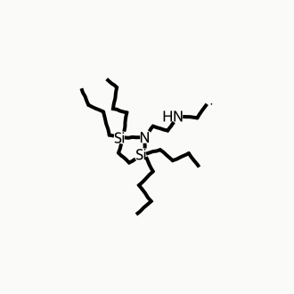 [CH2]CNCCN1[Si](CCCC)(CCCC)CC[Si]1(CCCC)CCCC